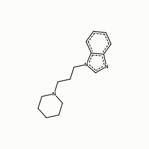 [CH]1CCN(CCCn2cnc3ccccc32)CC1